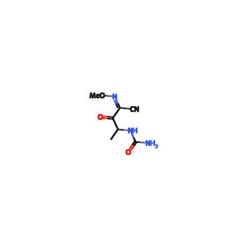 CON=C(C#N)C(=O)C(C)NC(N)=O